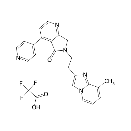 Cc1cccn2cc(CCN3Cc4nccc(-c5ccncc5)c4C3=O)nc12.O=C(O)C(F)(F)F